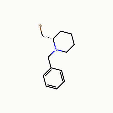 BrC[C@@H]1CCCCN1Cc1ccccc1